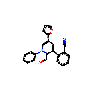 N#Cc1ccccc1C1=CC(c2ccco2)=CN(c2ccccc2)C1C=O